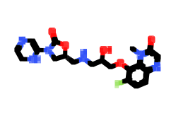 Cn1c(=O)cnc2ccc(F)c(OCC(O)CNC[C@H]3CN(C4=CN=CCN4)C(=O)O3)c21